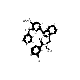 COc1cnc(-c2nn(CN(C)C(=O)c3cccc(Cl)c3)c3ccccc23)nc1Nc1ccncc1